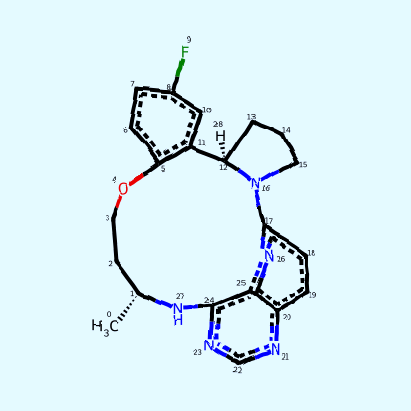 C[C@@H]1CCOc2ccc(F)cc2[C@H]2CCCN2c2ccc3ncnc(c3n2)N1